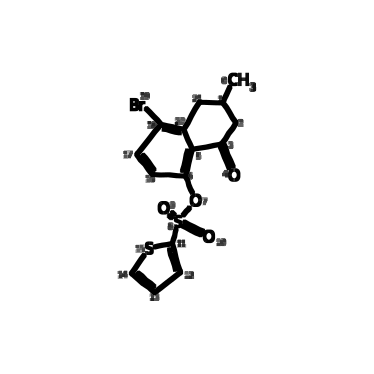 CC1CC(=O)c2c(OS(=O)(=O)c3cccs3)ccc(Br)c2C1